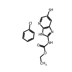 CCOC(=O)Nc1nc2cc(S)cnc2[nH]1.Clc1ccccc1